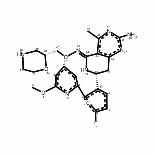 COc1cccc(-c2cc(F)ccc2[C@H]2Cc3nc(N)nc(C)c3/C(=N/OC[C@H]3CNCCO3)N2)n1